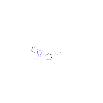 CSn1c(-c2nccc(OCC(F)(F)C(F)(F)F)c2C)nc2ccccc21.O